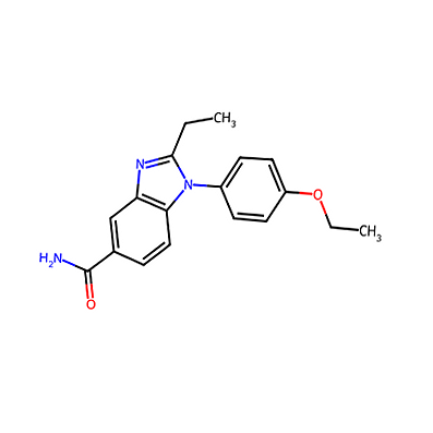 CCOc1ccc(-n2c(CC)nc3cc(C(N)=O)ccc32)cc1